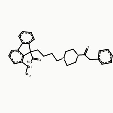 NC(=O)c1cccc2c1C(CCCCN1CCN(C(=O)Cc3ccccc3)CC1)(C(=O)O)c1ccccc1-2